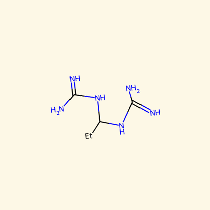 CCC(NC(=N)N)NC(=N)N